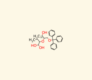 CCC(OC(COC(c1ccccc1)(c1ccccc1)c1ccccc1)[C@H](C)O)C(O)O